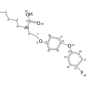 CCCCCN(CCOc1ccc(Oc2ccc(F)cc2)cc1)C(=O)O